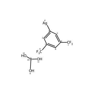 FC(F)(F)c1c[c]([Ag])cc(C(F)(F)F)c1.OB(O)O